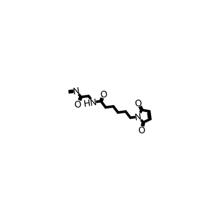 C=NC(=O)CNC(=O)CCCCCN1C(=O)C=CC1=O